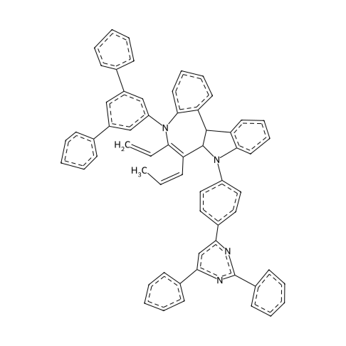 C=CC1=C(/C=C\C)C2C(c3ccccc3N1c1cc(-c3ccccc3)cc(-c3ccccc3)c1)c1ccccc1N2c1ccc(-c2cc(-c3ccccc3)nc(-c3ccccc3)n2)cc1